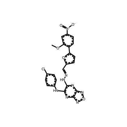 COc1cc([N+](=O)[O-])ccc1-c1ccc(C=NNc2nc3nonc3nc2Nc2ccc(Cl)cc2)o1